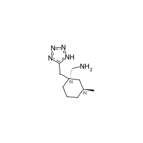 C[C@H]1CCC[C@@](CN)(Cc2nnn[nH]2)C1